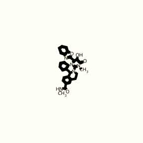 CNC(=O)c1ccc2c(c1)CCN(c1nc(-c3nc4ccccc4o3)c(O)c(=O)n1C)C2c1ccccc1